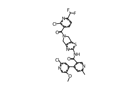 COc1cnc(Cl)cc1-c1cc(C)ncc1C(=O)Nc1nc2c(s1)CN(C(=O)c1ccc(C(F)F)nc1Cl)C2